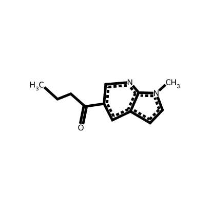 CCCC(=O)c1cnc2c(ccn2C)c1